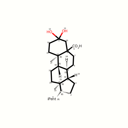 CCC[C@@H](C)[C@H]1CC[C@H]2[C@@H]3CCC4(C(=O)O)CC(O)(O)CC[C@]4(C)[C@H]3CC[C@]12C